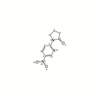 O=C1CCCN1c1ccc([N+](=O)[O-])cn1